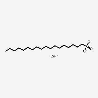 CCCCCCCCCCCCCCCCCCP(=O)([O-])[O-].[Zn+2]